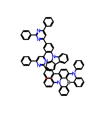 c1ccc(-c2cc(-c3ccc(-n4c5ccccc5c5ccccc54)c(-c4cc(-c5ccccc5)nc(-c5cccc(-c6ccc7c8c6N(c6ccccc6)c6ccccc6B8c6ccccc6N7c6ccccc6)c5)n4)c3)nc(-c3ccccc3)n2)cc1